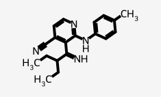 CCC(CC)C(=N)c1c(C#N)ccnc1Nc1ccc(C)cc1